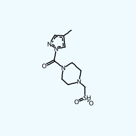 Cc1cnn(C(=O)N2CCN(C[SH](=O)=O)CC2)c1